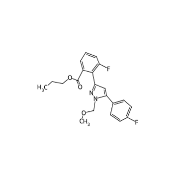 CCCOC(=O)c1cccc(F)c1-c1cc(-c2ccc(F)cc2)n(COC)n1